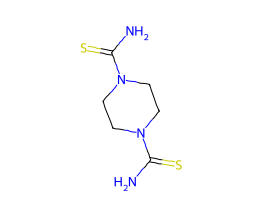 NC(=S)N1CCN(C(N)=S)CC1